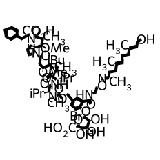 CCC(C)[C@@H]([C@@H](CC(=O)N1CCC[C@H]1[C@H](OC)[C@@H](C)C(=O)NC(Cc1ccccc1)C(=O)O)OC)N(C)C(=O)[C@@H](NC(=O)[C@H](C(C)C)N(C)C(=O)OCc1cc(Br)c(O[C@@H]2O[C@H](C(=O)O)[C@@H](O)[C@H](O)[C@H]2O)c(C(=O)NCCO/N=C(\C)CC/C(C)=C/CC/C(C)=C/CO)c1)C(C)C